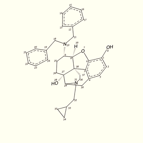 Oc1ccc2c3c1O[C@@H]1[C@@H](N(Cc4ccccc4)Cc4ccccc4)CC[C@]4(O)C(C2)N(CC2CC2)CC[C@@]314